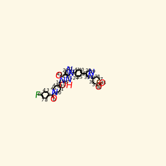 O=C(c1ccc(F)cc1)N1CCC(O)(Cn2cnc3c(cnn3-c3ccc(-c4cnn(C5CCS(=O)(=O)CC5)c4)cc3)c2=O)CC1